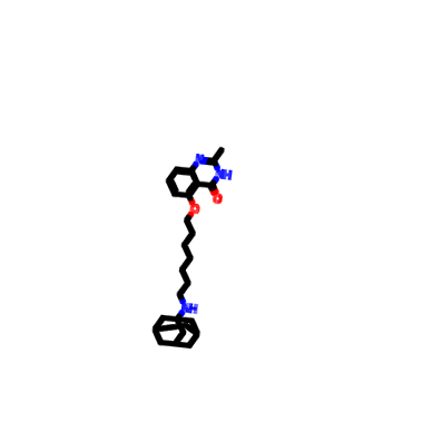 Cc1nc2cccc(OCCCCCCCNC34CC5CC(CC(C5)C3)C4)c2c(=O)[nH]1